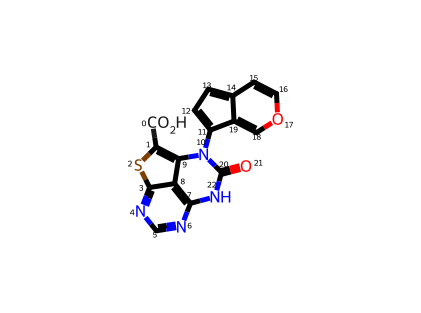 O=C(O)c1sc2ncnc3c2c1N(c1ccc2ccocc1-2)C(=O)N3